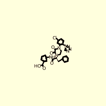 O=C(O)c1cccc(NC(=O)[C@H](Cc2ccccc2)N2CCN(c3cc(Cl)ccc3-n3cnnn3)C(=O)C2=O)c1